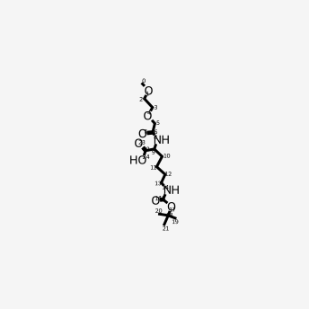 COCCOCC(=O)NC(CCCCNC(=O)OC(C)(C)C)C(=O)O